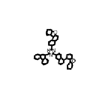 c1cc(-c2cccc3oc4ccccc4c23)c2ccc(-c3nc(-c4ccc5c(ccc6oc7ccccc7c65)c4)nc(-c4cc5ccccc5c5ccccc45)n3)cc2c1